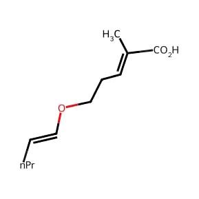 CCCC=COCCC=C(C)C(=O)O